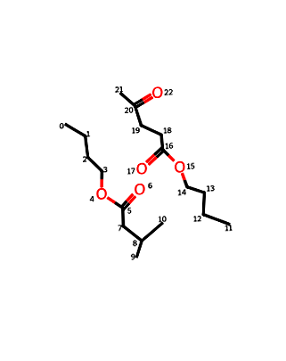 CCCCOC(=O)CC(C)C.CCCCOC(=O)CCC(C)=O